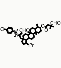 CC(C)C1=C2C3CCC4C(C)(CCC5C(C)C(OC(=O)CC(C)(C)C=O)CCC54C)C3CCC2(C/C(=C/C=O)N(C)N(C)c2ccc(Cl)cc2)CC1